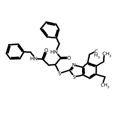 CCc1cc2sc(SC(CC(=O)NCc3ccccc3)C(=O)NCc3ccccc3)nc2c(CC)c1CC